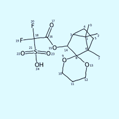 CC1(C)C2CCC1(C)C1(OCCCO1)C2OC(=O)C(F)(F)S(=O)(=O)O